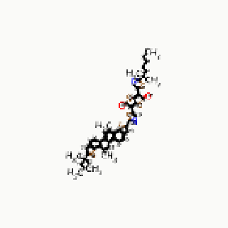 CCCCCC(C)(C)c1ncc(C2=C3SC(=O)C(c4cnc(-c5cc6ccc7c8cc(C)c9c(ccc%10cc(C(C)(CC)CCC)sc%109)c8cc(C)c7c6s5)s4)=C3SC2=O)s1